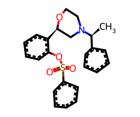 C[C@@H](c1ccccc1)N1CCO[C@H](c2ccccc2OS(=O)(=O)c2ccccc2)C1